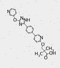 CC(C)(COc1ccc(-c2ccc(-c3nc(Oc4cccnc4)n[nH]3)cc2)cn1)C(=O)O